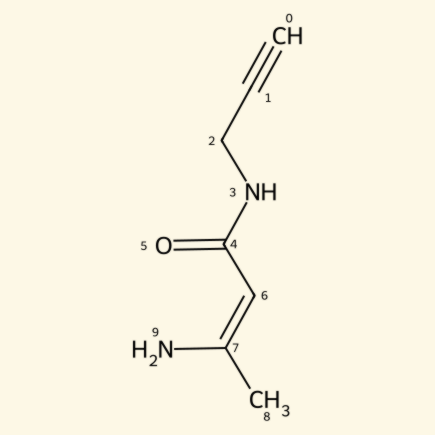 C#CCNC(=O)C=C(C)N